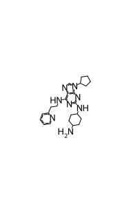 NC1CCC(Nc2nc(NCCc3ccccn3)c3ncn(C4CCCC4)c3n2)CC1